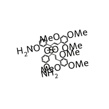 COc1cc(OC)c(C=CC(c2cccc(OCN)c2)S(=O)(=O)C(C=Cc2c(OC)cc(OC)cc2OC)c2cccc(OCN)c2)c(OC)c1